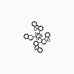 C1=CC2Oc3ccccc3C2C(c2nc(-c3cccc4c3oc3ccccc34)nc(C3C=Cc4ccccc4C3)n2)=C1c1cccc2sc3ccccc3c12